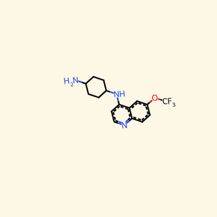 NC1CCC(Nc2ccnc3ccc(OC(F)(F)F)cc23)CC1